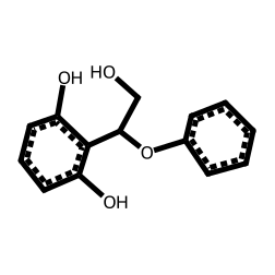 OCC(Oc1ccccc1)c1c(O)cccc1O